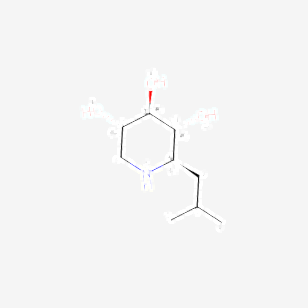 CC(C)C[C@H]1NC[C@H](O)[C@@H](O)[C@@H]1O